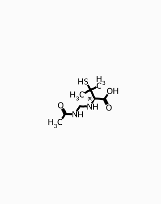 CC(=O)NCN[C@H](C(=O)O)C(C)(C)S